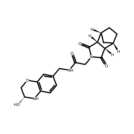 O=C(CN1C(=O)[C@@H]2[C@@H]3CC[C@@H](C3)[C@@H]2C1=O)NCc1ccc2c(c1)OC[C@@H](O)N2